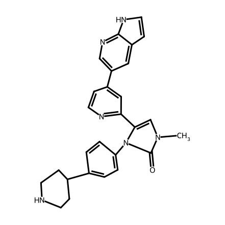 Cn1cc(-c2cc(-c3cnc4[nH]ccc4c3)ccn2)n(-c2ccc(C3CCNCC3)cc2)c1=O